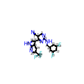 N#Cc1cnc(NCc2cc(F)cc(F)c2)nc1-c1c[nH]c2ncc(C(F)(F)F)cc12